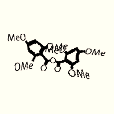 COc1cc(OC)c(C(=O)OC(=O)c2c(OC)cc(OC)cc2OC)c(OC)c1